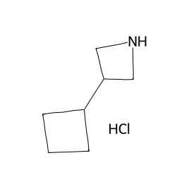 C1CC(C2CNC2)C1.Cl